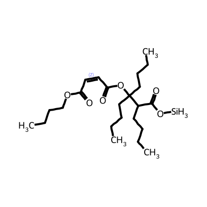 CCCCOC(=O)/C=C\C(=O)OC(CCCC)(CCCC)C(CCCC)C(=O)O[SiH3]